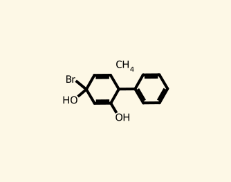 C.OC1=CC(O)(Br)C=CC1c1ccccc1